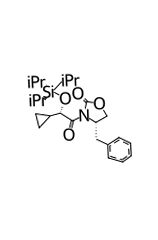 CC(C)[Si](O[C@H](C(=O)N1C(=O)OC[C@@H]1Cc1ccccc1)C1CC1)(C(C)C)C(C)C